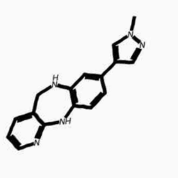 Cn1cc(-c2ccc3c(c2)NCc2cccnc2N3)cn1